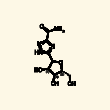 NC(=O)c1n[nH]c(C2O[C@H](CO)[C@@H](O)[C@H]2O)n1